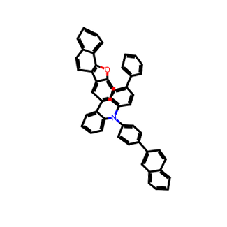 c1ccc(-c2ccc(N(c3ccc(-c4ccc5ccccc5c4)cc3)c3ccccc3-c3ccc4oc5c6ccccc6ccc5c4c3)cc2)cc1